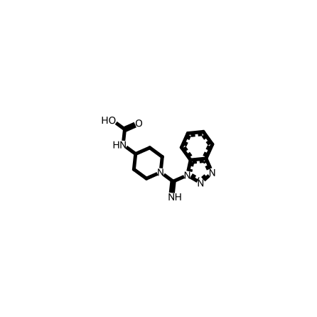 N=C(N1CCC(NC(=O)O)CC1)n1nnc2ccccc21